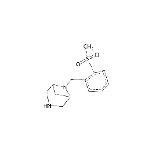 CS(=O)(=O)c1ccccc1CN1C2CNCC1C2